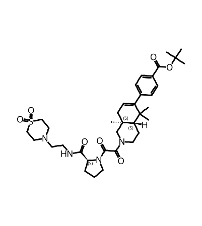 CC(C)(C)OC(=O)c1ccc(C2=CC[C@]3(C)CN(C(=O)C(=O)N4CCC[C@H]4C(=O)NCCN4CCS(=O)(=O)CC4)CC[C@H]3C2(C)C)cc1